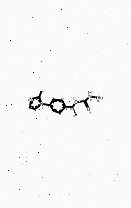 Cc1nccn1-c1ccc([C@H](C)OC(=O)NC(C)(C)C)cc1